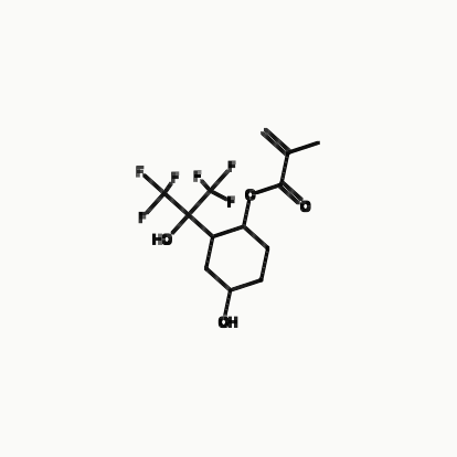 C=C(C)C(=O)OC1CCC(O)CC1C(O)(C(F)(F)F)C(F)(F)F